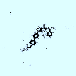 COC(=O)Cc1ccc(-c2ccc(-n3nnc(NC(=O)O[C@H](C)c4ccccc4)c3C)cc2)cc1